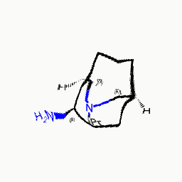 CC(C)N1[C@@H]2CC[C@@H](N)[C@H]1CC2